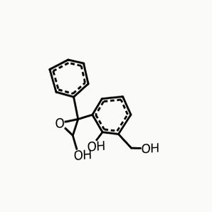 OCc1cccc(C2(c3ccccc3)OC2O)c1O